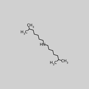 CC(C)CCCCCNCCCCCC(C)C